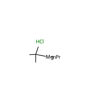 CC[CH2][Mg][C](C)(C)C.Cl